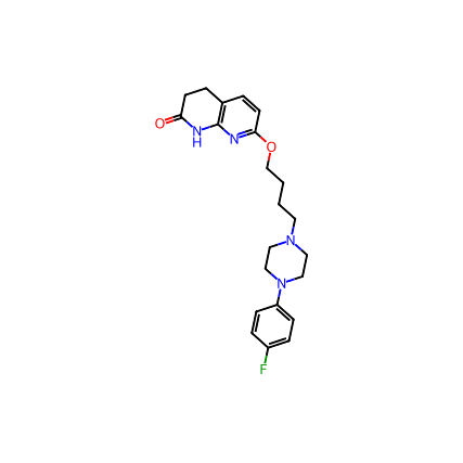 O=C1CCc2ccc(OCCCCN3CCN(c4ccc(F)cc4)CC3)nc2N1